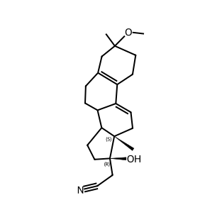 COC1(C)CCC2=C(CCC3C2=CC[C@@]2(C)C3CC[C@@]2(O)CC#N)C1